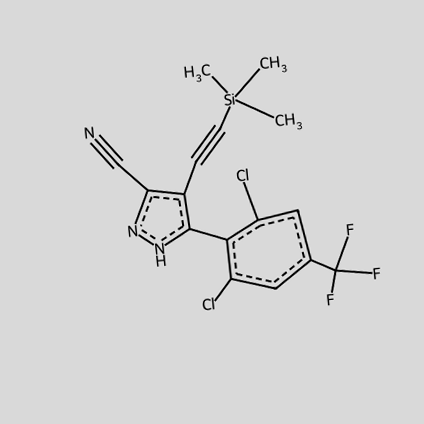 C[Si](C)(C)C#Cc1c(C#N)n[nH]c1-c1c(Cl)cc(C(F)(F)F)cc1Cl